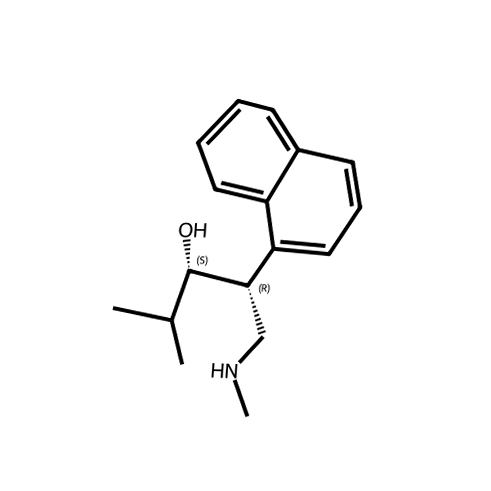 CNC[C@@H](c1cccc2ccccc12)[C@@H](O)C(C)C